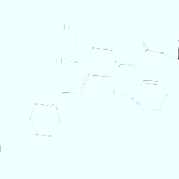 CCOC(=O)C1CCN(C/C=C2/CN(C(C(=O)C3CC3)c3ccccc3F)CCC2S)CC1.Cl.Cl